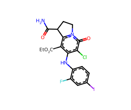 CCOC(=O)c1c(Nc2ccc(I)cc2F)c(Cl)c(=O)n2c1C(C(N)=O)CC2